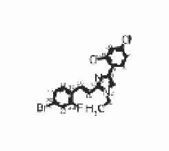 CCn1cc(-c2ccc(Cl)cc2Cl)nc1C=Cc1ccc(Br)cc1F